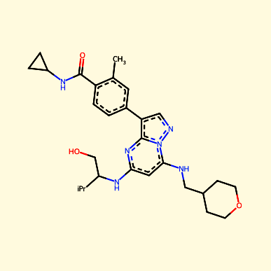 Cc1cc(-c2cnn3c(NCC4CCOCC4)cc(NC(CO)C(C)C)nc23)ccc1C(=O)NC1CC1